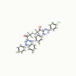 CC(C)(CCC(C)(C)C(=O)C(=NNc1ccc(F)cc1)Nc1cccc(F)c1)C(=O)C(=NNc1ccc(F)cc1)Nc1ccc(F)cc1